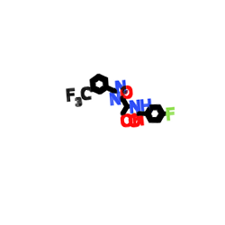 O=C(NC(CO)c1nc(-c2cccc(C(F)(F)F)c2)no1)c1ccc(F)cc1